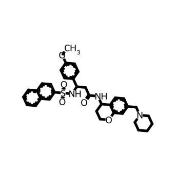 COc1ccc(C(CC(=O)NC2CCOc3cc(CN4CCCCC4)ccc32)NS(=O)(=O)c2ccc3ccccc3c2)cc1